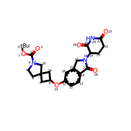 CC(C)(C)OC(=O)N1CCC2(CC(Oc3ccc4c(c3)CN(C3CCC(=O)NC3=O)C4=O)C2)C1